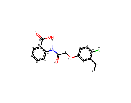 CCc1cc(OCC(=O)Nc2ccccc2C(=O)O)ccc1Cl